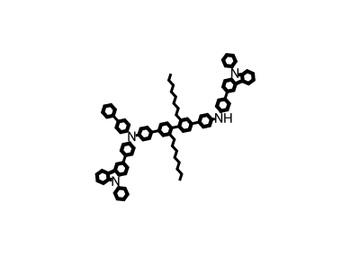 CCCCCCCCc1cc(-c2ccc(Nc3ccc(-c4ccc5c(c4)c4ccccc4n5-c4ccccc4)cc3)cc2)ccc1-c1ccc(-c2ccc(N(c3ccc(-c4ccccc4)cc3)c3ccc(-c4ccc5c(c4)c4ccccc4n5-c4ccccc4)cc3)cc2)cc1CCCCCCCC